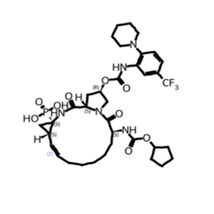 O=C(N[C@H]1CCCCC/C=C\[C@@H]2C[C@@]2(P(=O)(O)O)NC(=O)[C@@H]2C[C@@H](OC(=O)Nc3cc(C(F)(F)F)ccc3N3CCCCC3)CN2C1=O)OC1CCCC1